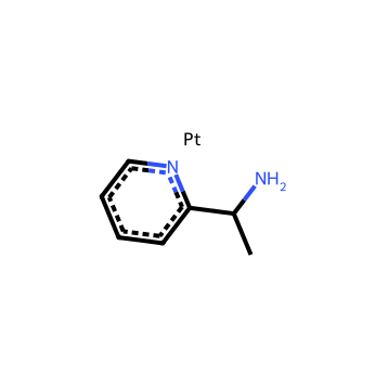 CC(N)c1ccccn1.[Pt]